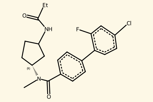 CCC(=O)NC1CC[C@@H](N(C)C(=O)c2ccc(-c3ccc(Cl)cc3F)cc2)C1